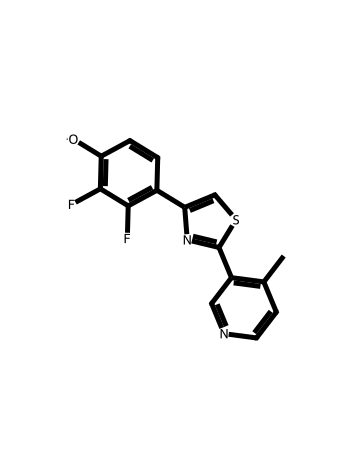 Cc1ccncc1-c1nc(-c2ccc([O])c(F)c2F)cs1